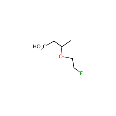 CC(CC(=O)O)OCCF